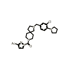 CC(=O)c1ccn(C(=O)N2CCC3(CCN(Cc4ccc(N5CCCC5)c(Cl)c4)C3)CC2)n1